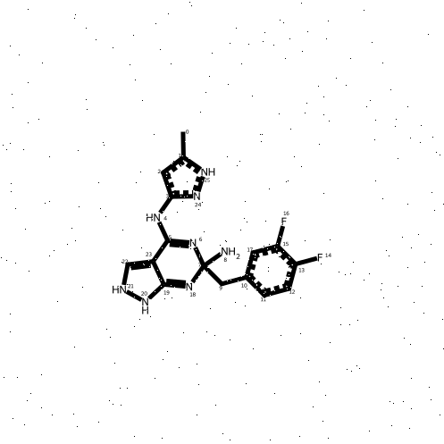 Cc1cc(NC2=NC(N)(Cc3ccc(F)c(F)c3)N=C3NNC=C32)n[nH]1